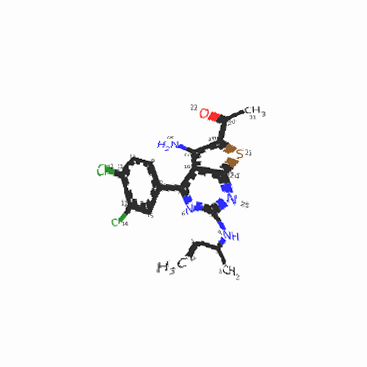 CCC(C)Nc1nc(-c2ccc(Cl)c(Cl)c2)c2c(N)c(C(C)=O)sc2n1